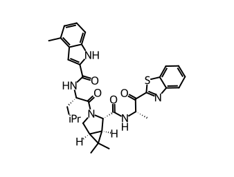 Cc1cccc2[nH]c(C(=O)N[C@@H](CC(C)C)C(=O)N3C[C@H]4[C@@H]([C@H]3C(=O)N[C@@H](C)C(=O)c3nc5ccccc5s3)C4(C)C)cc12